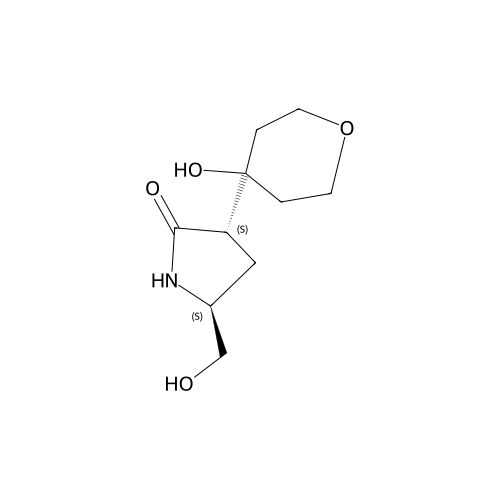 O=C1N[C@H](CO)C[C@H]1C1(O)CCOCC1